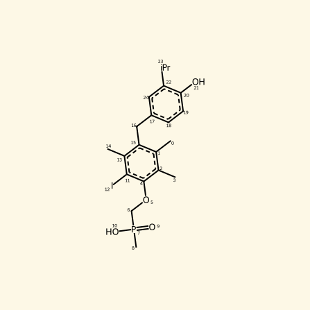 Cc1c(C)c(OCP(C)(=O)O)c(I)c(C)c1Cc1ccc(O)c(C(C)C)c1